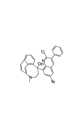 CN1CCC(O)(c2cc(Br)cc3cc(-c4ccccc4)c(Cl)nc23)c2cccc3ccc1cc23